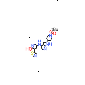 CC(C)(C)OC(=O)N1CC=C(c2cc3c(Nc4cnc(O)c(-c5cncs5)c4)ccnc3[nH]2)CC1